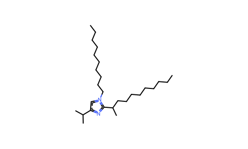 CCCCCCCCCCn1cc(C(C)C)nc1C(C)CCCCCCCCC